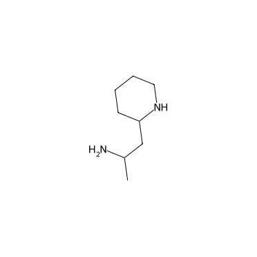 CC(N)CC1CCCCN1